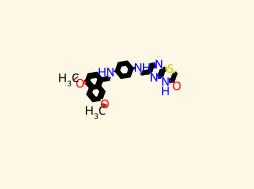 COc1ccc2c(OC)ccc(CN[C@H]3CC[C@H](NCc4cnc5c(n4)NC(=O)CS5)CC3)c2c1